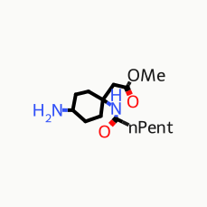 CCCCCC(=O)NC1(CC(=O)OC)CCC(N)CC1